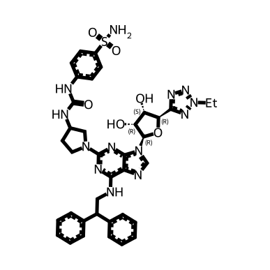 CCn1nnc([C@H]2O[C@@H](n3cnc4c(NCC(c5ccccc5)c5ccccc5)nc(N5CCC(NC(=O)Nc6ccc(S(N)(=O)=O)cc6)C5)nc43)[C@H](O)[C@@H]2O)n1